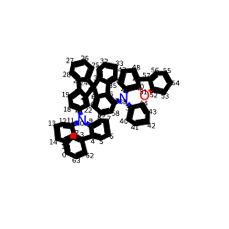 c1ccc(-c2ccccc2N(c2ccccc2)c2ccc3c(c2)C2(c4ccccc4-3)c3ccccc3-c3c(N(c4ccccc4)c4cccc5c4oc4ccccc45)cccc32)cc1